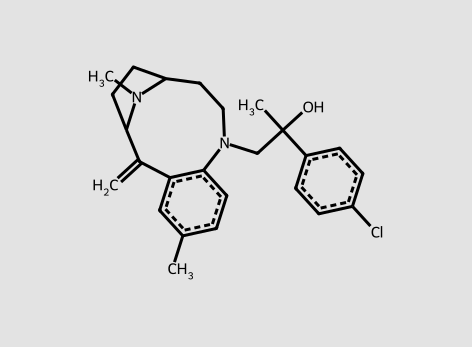 C=C1c2cc(C)ccc2N(CC(C)(O)c2ccc(Cl)cc2)CCC2CCC1N2C